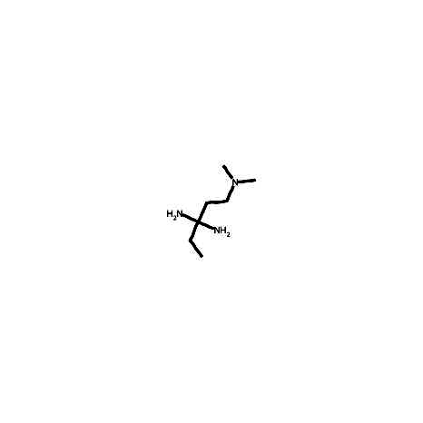 CCC(N)(N)CCN(C)C